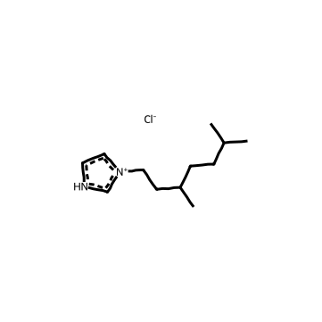 CC(C)CCC(C)CC[n+]1cc[nH]c1.[Cl-]